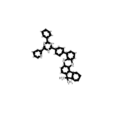 CC1(C)c2ccccc2-c2c1ccc1c2Oc2cccc(-c3ccc(-c4nc(-c5ccccc5)nc(-c5ccccn5)n4)cc3)c2O1